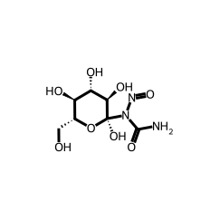 NC(=O)N(N=O)[C@@]1(O)O[C@H](CO)[C@@H](O)[C@H](O)[C@H]1O